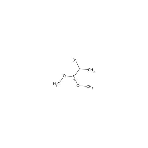 CO[SiH](OC)C(C)Br